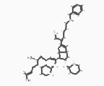 CC(C)=CCC[C@@H](C)CCC=C(OC1CCCCO1)[C@H]1C2CC(C(CO)CCCCOCc3ccccc3)=CC2C[C@@H]1OC1CCCCO1